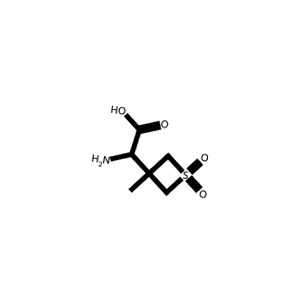 CC1(C(N)C(=O)O)CS(=O)(=O)C1